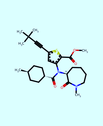 COC(=O)c1sc(C#CC(C)(C)C)cc1N(C(=O)[C@H]1CC[C@H](C)CC1)[C@H]1CCCCN(C)C1=O